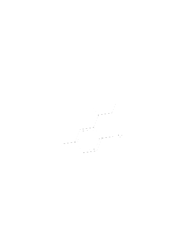 CSc1ccc(Cl)cc1[C](C)CO